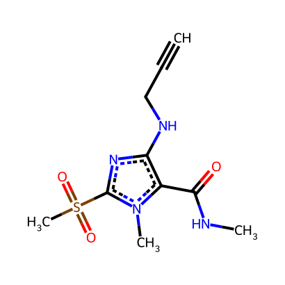 C#CCNc1nc(S(C)(=O)=O)n(C)c1C(=O)NC